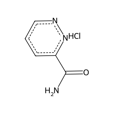 Cl.NC(=O)c1cccnn1